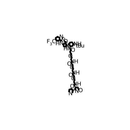 CN1C(=O)C[C@H](C(=O)NCCOCC(=O)NCCOCC(=O)NCCOCCC(=O)N[C@@H]2C[C@H](NC(C)(C)C)CC[C@@H]2N2CC[C@H](Nc3ncnc4ccc(C(F)(F)F)cc34)C2=O)[C@H]1c1cccnc1